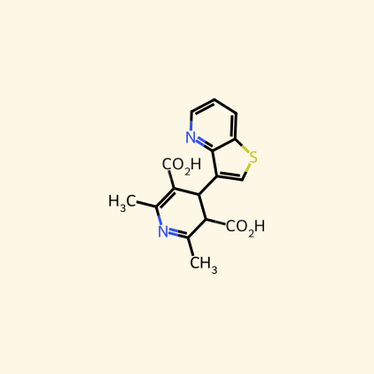 CC1=NC(C)=C(C(=O)O)C(c2csc3cccnc23)C1C(=O)O